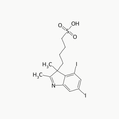 CC1=Nc2cc(I)cc(I)c2C1(C)CCCCS(=O)(=O)O